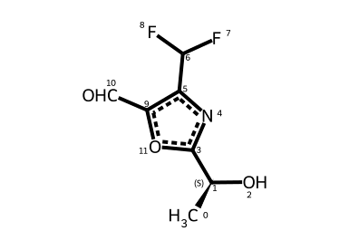 C[C@H](O)c1nc(C(F)F)c(C=O)o1